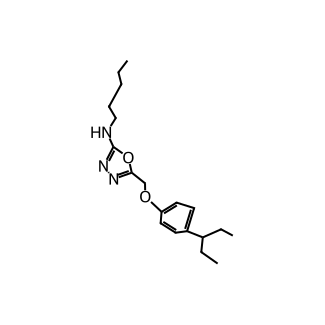 CCCCCNc1nnc(COc2ccc(C(CC)CC)cc2)o1